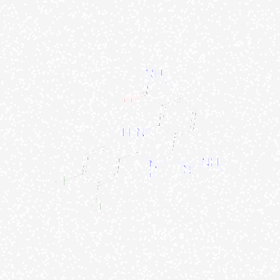 N/N=C(/NCc1ccc(Cl)c(Cl)c1)c1cccc(C(N)=O)c1N